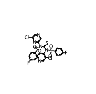 O=S(=O)(c1ccc(F)cc1)N(C(=S)N(c1ccncc1Cl)S(=O)(=O)c1ccc(F)cc1)c1cncc(Cl)n1